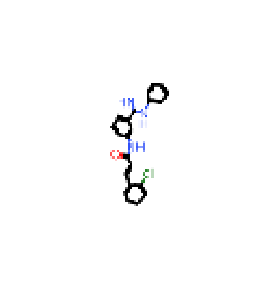 N=C(Nc1ccccc1)c1cccc(NC(=O)/C=C/c2ccccc2Cl)c1